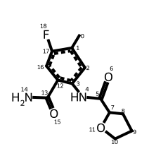 Cc1cc(NC(=O)C2CCCO2)c(C(N)=O)cc1F